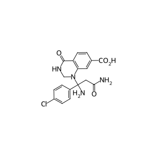 NC(=O)CC(N)(c1ccc(Cl)cc1)N1CNC(=O)c2ccc(C(=O)O)cc21